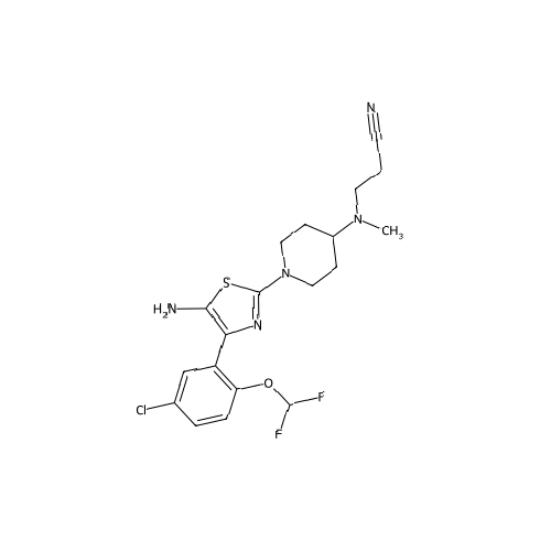 CN(CCC#N)C1CCN(c2nc(-c3cc(Cl)ccc3OC(F)F)c(N)s2)CC1